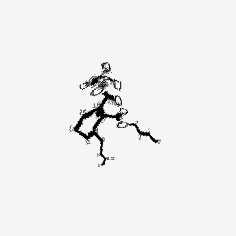 CCCCOC(=O)c1c(CCCC)cccc1C(=O)OS(=O)(=O)Cl